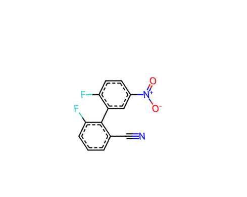 N#Cc1cccc(F)c1-c1cc([N+](=O)[O-])ccc1F